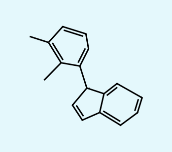 Cc1cccc([C]2C=Cc3ccccc32)c1C